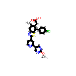 COc1ncc(-c2cc(-c3nc4cc(C)c(CC(=O)O)c(-c5ccc(Cl)cc5)c4s3)ccn2)cn1